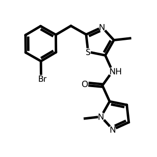 Cc1nc(Cc2cccc(Br)c2)sc1NC(=O)c1ccnn1C